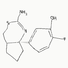 NC1=N[C@@]2(c3ccc(F)c(O)c3)CCCC2CS1